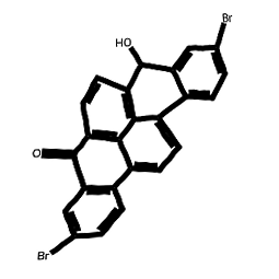 O=C1c2cc(Br)ccc2-c2ccc3c4c(ccc1c24)C(O)c1cc(Br)ccc1-3